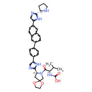 CC(C)[C@H](NC(=O)O)C(=O)N1CC2(C[C@H]1c1ncc(-c3ccc(-c4ccc5cc(-c6cnc([C@@H]7CCCN7)[nH]6)ccc5c4)cc3)[nH]1)OCCO2